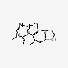 Cc1cc2c(c(O)c1-c1nncn(C)c1=O)CCO2